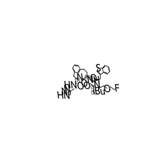 CC[C@H](C)[C@@H](C(=O)N[C@H]1CCc2cccc3c2N(C1=O)[C@H](C(=O)NCc1c[nH]nn1)C3)N(CCOCCF)C(=O)Cc1csc2ccccc12